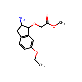 CCOc1ccc2c(c1)C(OCC(=O)OC)C(N)C2